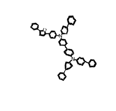 c1ccc(-c2ccc(N(c3ccc(-c4ccccc4)cc3)c3ccc(-c4ccc(N(c5ccc(-c6ccccc6)cc5)c5ccc(-c6ccc(-c7ccccc7)o6)cc5)cc4)cc3)cc2)cc1